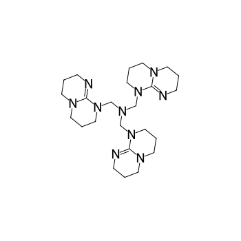 C1CN=C2N(C1)CCCN2CN(CN1CCCN2CCCN=C21)CN1CCCN2CCCN=C21